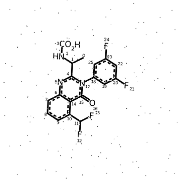 CC(NC(=O)O)c1nc2cccc(C(F)F)c2c(=O)n1-c1cc(F)cc(F)c1